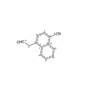 N#Cc1ccc(CC=O)c2ccccc12